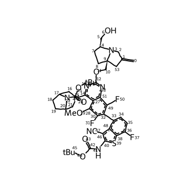 C=C1CN2[C@H](CO)CC[C@@]2(COc2nc(N3CC4CCC(C3)N4C(=O)OC(C)(C)C)c3c(OC)c(F)c(-c4ccc(F)c5sc(NC(=O)OC(C)(C)C)c(C#N)c45)c(F)c3n2)C1